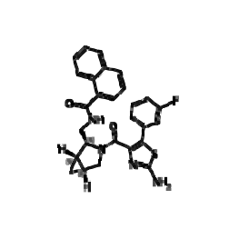 Nc1nc(C(=O)N2C[C@@H]3C[C@@H]3[C@H]2CNC(=O)c2cccc3ccccc23)c(-c2cccc(F)c2)s1